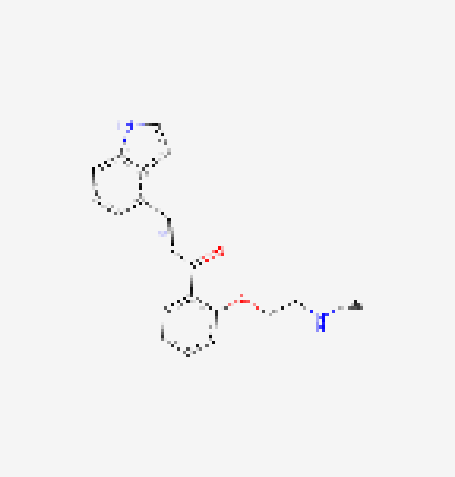 CC(C)(C)NCCOc1ccccc1C(=O)/C=C/c1cccc2[nH]ccc12